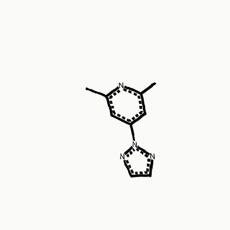 Cc1cc(-n2nccn2)cc(C)n1